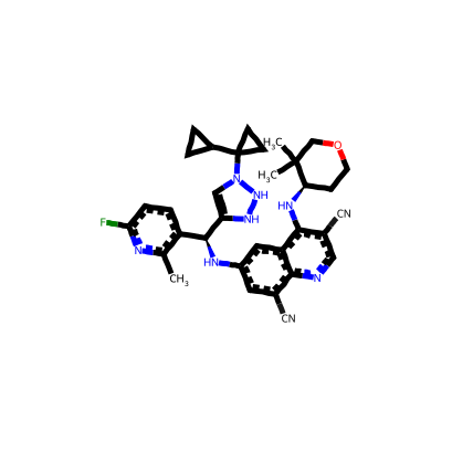 Cc1nc(F)ccc1[C@H](Nc1cc(C#N)c2ncc(C#N)c(N[C@@H]3CCOCC3(C)C)c2c1)C1=CN(C2(C3CC3)CC2)NN1